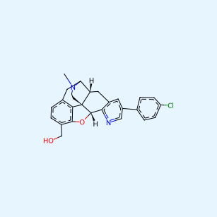 CN1CC[C@]23c4c5ccc(CO)c4O[C@H]2c2ncc(-c4ccc(Cl)cc4)cc2C[C@H]3C1C5